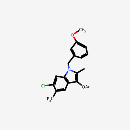 CC(=O)Oc1c(C)n(Cc2cccc(OC(F)(F)F)c2)c2cc(Cl)c(C(F)(F)F)cc12